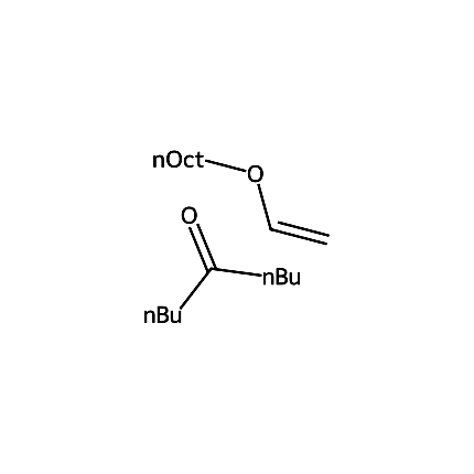 C=COCCCCCCCC.CCCCC(=O)CCCC